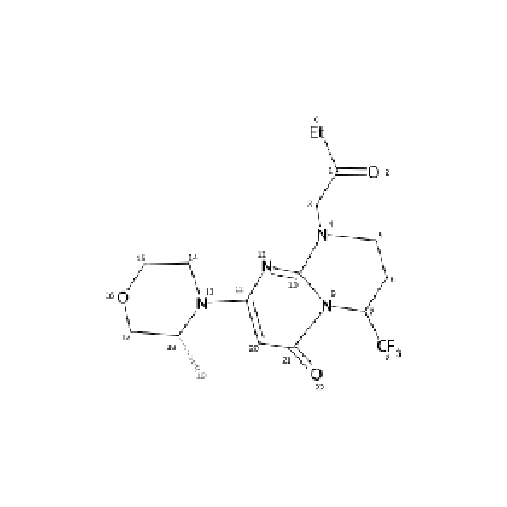 CCC(=O)CN1CCC(C(F)(F)F)n2c1nc(N1CCOC[C@H]1C)cc2=O